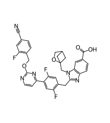 N#Cc1ccc(COc2nccc(-c3cc(F)c(Cc4nc5ccc(C(=O)O)cc5n4CC45CC(CO4)C5)cc3F)n2)c(F)c1